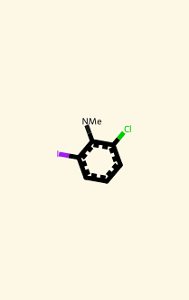 CNc1c(Cl)cccc1I